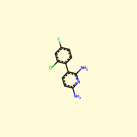 Nc1ccc(-c2ccc(F)cc2Cl)c(N)n1